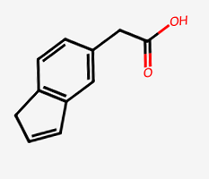 O=C(O)Cc1ccc2c(c1)C=CC2